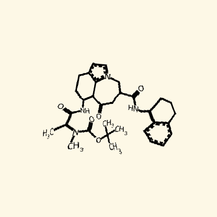 CC(C(=O)NC1CCc2ccn3c2C1C(=O)CC(C(=O)NC1CCCc2ccccc21)C3)N(C)C(=O)OC(C)(C)C